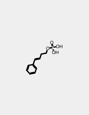 O=P(O)(O)OCCC=Cc1ccccc1